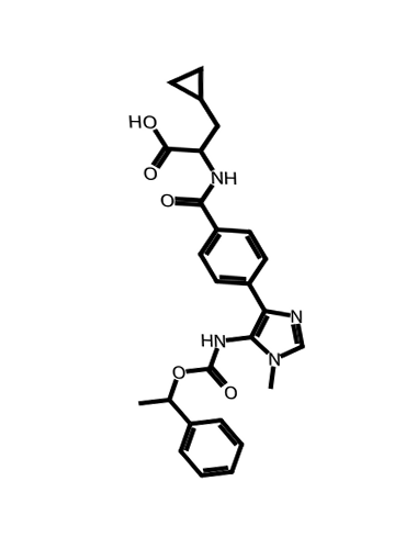 CC(OC(=O)Nc1c(-c2ccc(C(=O)NC(CC3CC3)C(=O)O)cc2)ncn1C)c1ccccc1